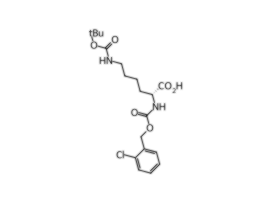 CC(C)(C)OC(=O)NCCCC[C@@H](NC(=O)OCc1ccccc1Cl)C(=O)O